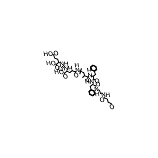 CC(CC(C)(C)NC(=O)CCC(NC(=O)NC(CCC(=O)O)C(=O)O)C(=O)O)C(=O)NC(Cc1ccccc1)C(=O)NC(Cc1ccccc1)C(=O)NCCNC(=O)CCC=O